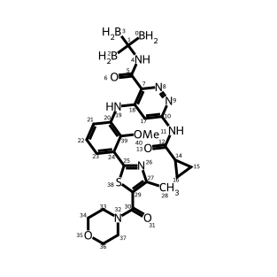 BC(B)(B)NC(=O)c1nnc(NC(=O)C2CC2)cc1Nc1cccc(-c2nc(C)c(C(=O)N3CCOCC3)s2)c1OC